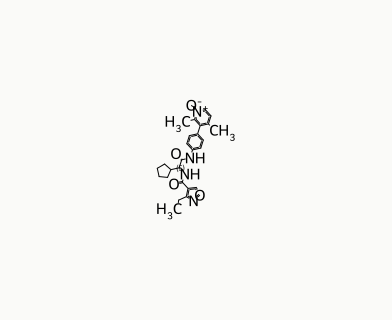 CCc1nocc1C(=O)N[C@H](C(=O)Nc1ccc(-c2c(C)cc[n+]([O-])c2C)cc1)C1CCCC1